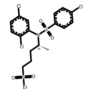 CCS(=O)(=O)CCC[C@@H](C)N(c1cc(Cl)ccc1Cl)S(=O)(=O)c1ccc(Cl)cc1